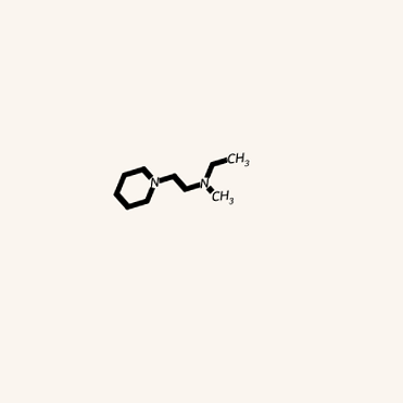 CCN(C)CCN1CCCCC1